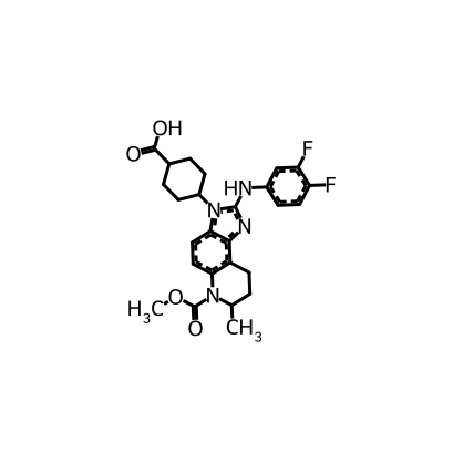 COC(=O)N1c2ccc3c(nc(Nc4ccc(F)c(F)c4)n3C3CCC(C(=O)O)CC3)c2CCC1C